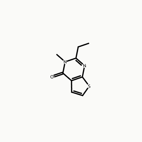 CCc1nc2sccc2c(=O)n1C